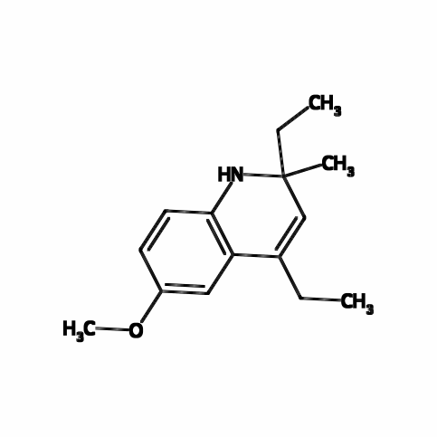 CCC1=CC(C)(CC)Nc2ccc(OC)cc21